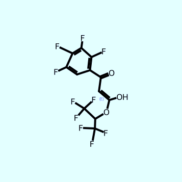 O=C(/C=C(\O)OC(C(F)(F)F)C(F)(F)F)c1cc(F)c(F)c(F)c1F